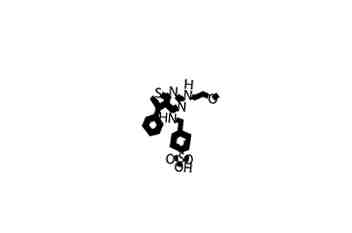 COCCNc1nc(NCc2ccc(S(=O)(=O)O)cc2)c2c(-c3ccccc3)csc2n1